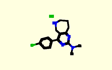 CCN(CC)c1nc2c(c(-c3ccc(Cl)cc3)n1)CNCCC2.Cl